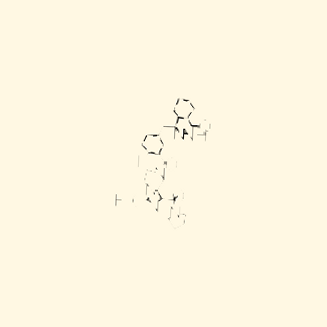 O=C(c1cc(Cc2n[nH]c(=O)c3ccccc23)ccc1F)N1CCn2c(C(F)(F)F)nc(C(=O)N3CCCC3)c2C1